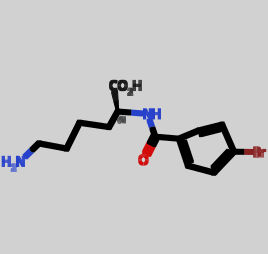 NCCCC[C@H](NC(=O)c1ccc(Br)cc1)C(=O)O